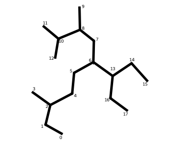 CCC(C)CC[C](CC(C)C(C)C)C(CC)CC